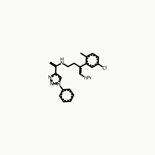 C=C(NCC/C(=C/CCC)c1cc(Cl)ccc1C)c1cn(-c2ccccc2)nn1